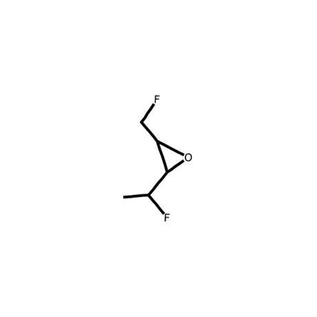 CC(F)C1OC1CF